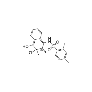 Cc1ccc(S(=O)(=O)NC2=c3ccccc3=C(O)C(C)(Cl)[C@@H]2C)c(C)c1